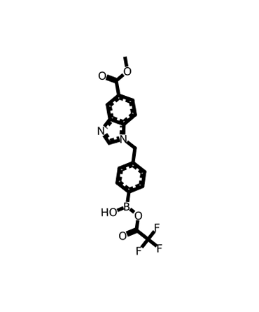 COC(=O)c1ccc2c(c1)ncn2Cc1ccc(B(O)OC(=O)C(F)(F)F)cc1